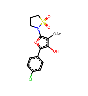 CC(=O)Oc1c(N2CCCS2(=O)=O)oc(-c2ccc(Cl)cc2)c1O